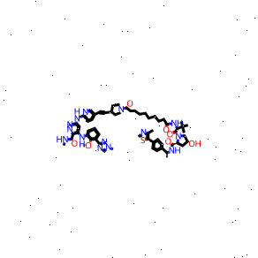 CNC(=O)c1nnc(Nc2ccc(C#CC3CCN(C(=O)CCCCCCCCC(=O)NC(C(=O)N4C[C@H](O)C[C@H]4C(=O)N[C@@H](C)c4ccc(-c5scnc5C)cc4)C(C)(C)C)CC3)cn2)cc1Nc1cccc(-c2ncn(C)n2)c1OC